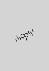 C=C(C)C(=O)Oc1cc(F)c2c(F)c(OC(=O)C(=C)C)ccc2c1